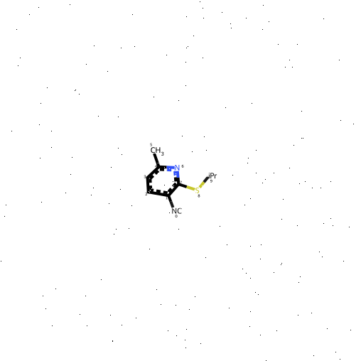 [C-]#[N+]c1ccc(C)nc1SC(C)C